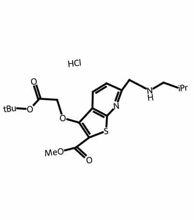 COC(=O)c1sc2nc(CNCC(C)C)ccc2c1OCC(=O)OC(C)(C)C.Cl